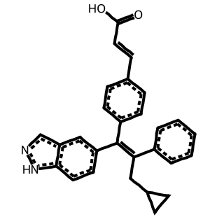 O=C(O)/C=C/c1ccc(/C(=C(/CC2CC2)c2ccccc2)c2ccc3[nH]ncc3c2)cc1